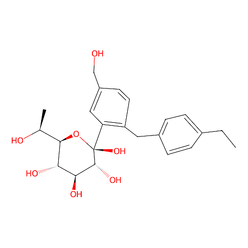 CCc1ccc(Cc2ccc(CO)cc2[C@@]2(O)O[C@H]([C@H](C)O)[C@@H](O)[C@H](O)[C@H]2O)cc1